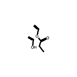 C=CO.C=COC(=O)CC